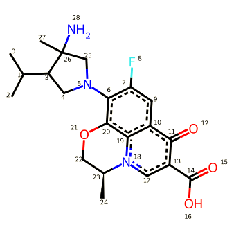 CC(C)C1CN(c2c(F)cc3c(=O)c(C(=O)O)cn4c3c2OC[C@@H]4C)CC1(C)N